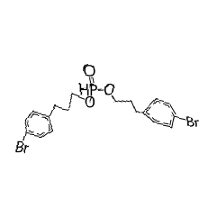 O=[PH](OCCCc1ccc(Br)cc1)OCCCc1ccc(Br)cc1